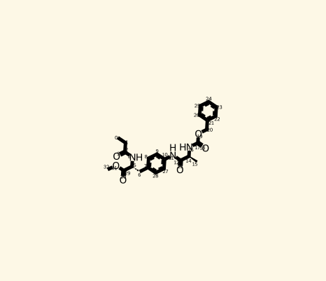 CCC(=O)N[C@H](Cc1ccc(NC(=O)[C@H](C)NC(=O)OCc2ccccc2)cc1)C(=O)OC